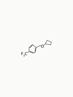 FC(F)(F)c1ccc(COC2CCC2)cc1